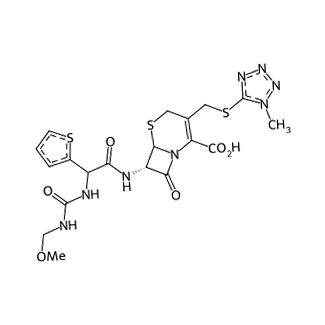 COCNC(=O)NC(C(=O)N[C@H]1C(=O)N2C(C(=O)O)=C(CSc3nnnn3C)CSC12)c1cccs1